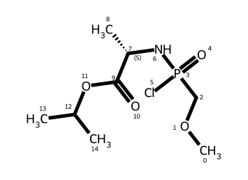 COCP(=O)(Cl)N[C@@H](C)C(=O)OC(C)C